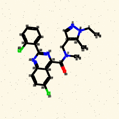 CCn1ncc(CN(C)C(=O)c2nc(-c3ccccc3Cl)nc3ccc(Cl)cc23)c1C